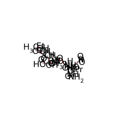 CC[C@H](O)[C@@H](C)[C@H]1O[C@@H]1CC(C)(O)/C=C/C=C(\C)[C@H]1OC(=O)C[C@H](O)CC[C@@](C)(O)[C@@H](OC(=O)N2CCN(C(=O)OCc3ccc(NC(=O)[C@H](CCCNC(N)=O)NC(=O)[C@@H](NC(=O)CCCCCN4C(=O)C=CC4=O)C(C)C)cc3)CC2)/C=C/[C@@H]1C